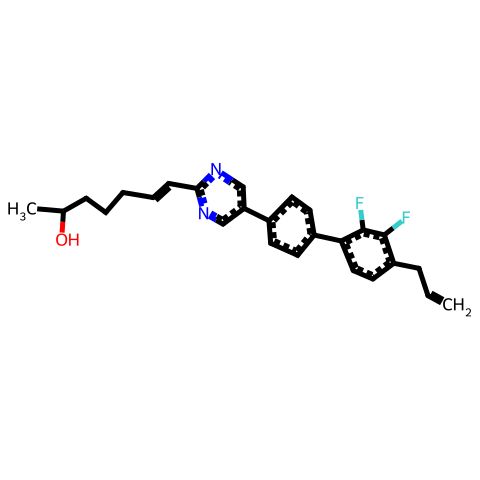 C=CCc1ccc(-c2ccc(-c3cnc(/C=C/CCCC(C)O)nc3)cc2)c(F)c1F